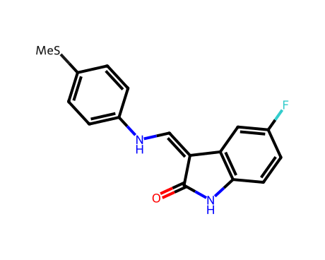 CSc1ccc(NC=C2C(=O)Nc3ccc(F)cc32)cc1